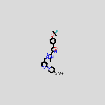 CSC1CCN(c2cc(Cn3nc(-c4cc(-c5ccc(OC(C)(C)F)cc5)on4)nc3C)ccn2)CC1